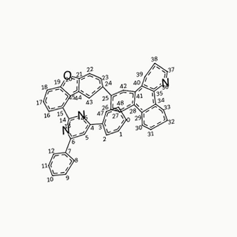 c1ccc(-c2cc(-c3ccccc3)nc(-c3cccc4oc5ccc(-c6ccc7c8ccccc8c8ncccc8c7c6)cc5c34)n2)cc1